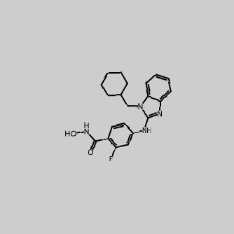 O=C(NO)c1ccc(Nc2nc3ccccc3n2CC2CCCCC2)cc1F